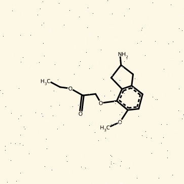 CCOC(=O)COc1c(OC)ccc2c1CC(N)C2